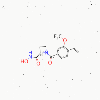 C=Cc1ccc(C(=O)N2CC[C@@H]2C(=O)NO)cc1OC(F)(F)F